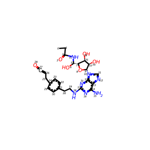 CCC(=O)NC(O)[C@H]1O[C@@H](n2cnc3c(N)nc(NCCc4ccc(CC=C=O)cc4)nc32)[C@H](O)[C@@H]1O